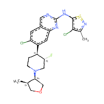 Cc1nsc(Nc2ncc3cc(Cl)c([C@@H]4CCN([C@H]5COC[C@H]5C)C[C@H]4F)cc3n2)c1Cl